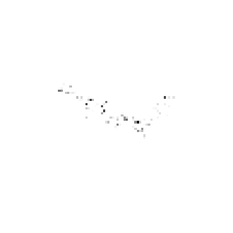 COc1cc(Cn2ncc3c(-c4cccc(-c5ccc(CNC[C@]6([SiH3])CCC(=O)N6)c(OC)c5)c4Cl)cccc32)c(Cl)cc1CNCC1CCC(C(=O)O)CC1